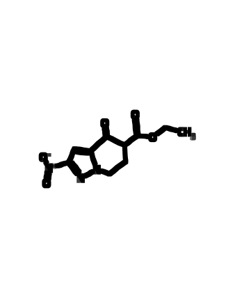 CCOC(=O)C1CCn2nc([N+](=O)[O-])cc2C1=O